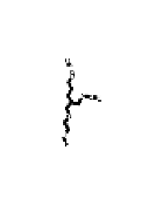 CCOCCOCC(CCCN=C=O)CN=C=O